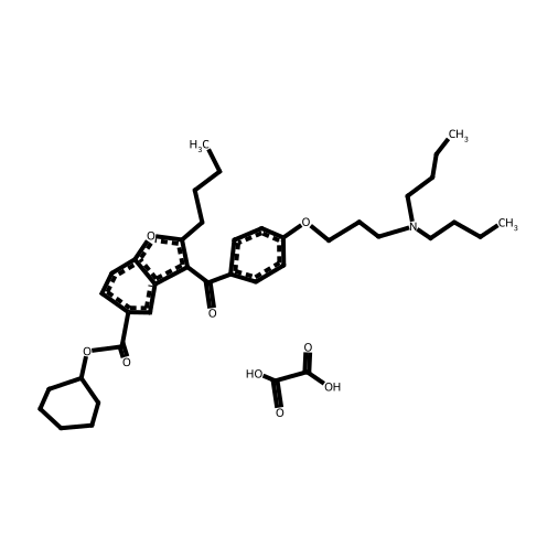 CCCCc1oc2ccc(C(=O)OC3CCCCC3)cc2c1C(=O)c1ccc(OCCCN(CCCC)CCCC)cc1.O=C(O)C(=O)O